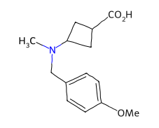 COc1ccc(CN(C)C2CC(C(=O)O)C2)cc1